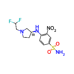 NS(=O)(=O)c1ccc(N[C@H]2CCN(CC(F)F)C2)c([N+](=O)[O-])c1